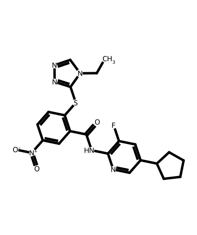 CCn1cnnc1Sc1ccc([N+](=O)[O-])cc1C(=O)Nc1ncc(C2CCCC2)cc1F